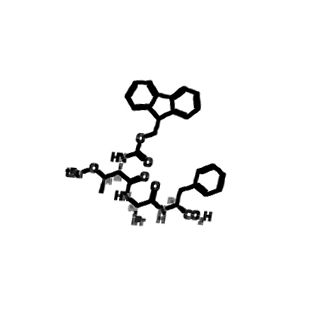 CC(C)[C@H](NC(=O)[C@@H](NC(=O)OCC1c2ccccc2-c2ccccc21)[C@@H](C)OC(C)(C)C)C(=O)N[C@@H](Cc1ccccc1)C(=O)O